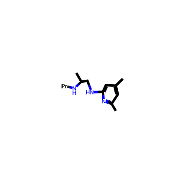 Cc1cc(C)nc(NCC(C)NC(C)C)c1